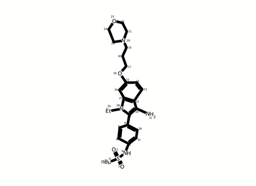 CCCCS(=O)(=O)Nc1ccc(-c2c(N)c3ccc(OCCCN4CCOCC4)cc3n2CC)cc1